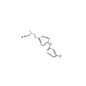 CC(O)COc1ccc(Oc2cccc(F)c2)cc1